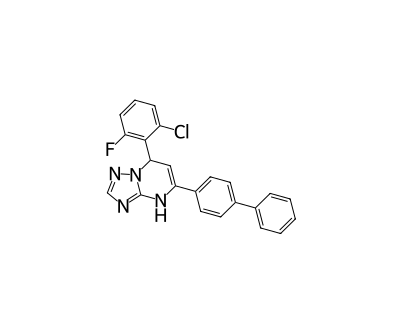 Fc1cccc(Cl)c1C1C=C(c2ccc(-c3ccccc3)cc2)Nc2ncnn21